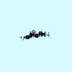 CN(C)c1ccc2c(Nc3ccc(NC(=O)c4cccc(N[c+]5ccn(C)cc5)c4)cc3)ccnc2c1.Cl.[Cl-]